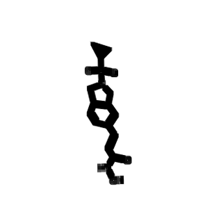 O=C(/C=C/c1ccc2c(c1)CN(S(=O)(=O)C1CC1)C2)NO